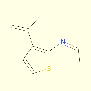 C=C(C)c1ccsc1/N=C\C